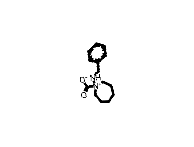 O=C([O-])[N+]1(NCc2ccccc2)CCCCCC1